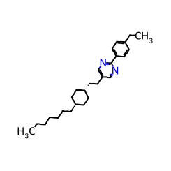 CCCCCCC[C@H]1CC[C@H](CCc2cnc(-c3ccc(CC)cc3)nc2)CC1